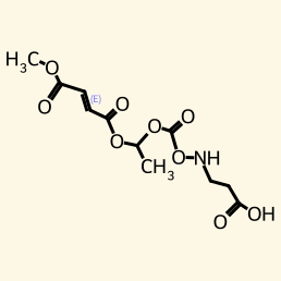 COC(=O)/C=C/C(=O)OC(C)OC(=O)ONCCC(=O)O